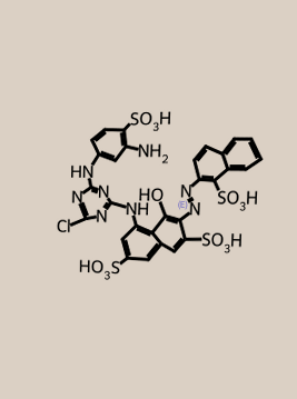 Nc1cc(Nc2nc(Cl)nc(Nc3cc(S(=O)(=O)O)cc4cc(S(=O)(=O)O)c(/N=N/c5ccc6ccccc6c5S(=O)(=O)O)c(O)c34)n2)ccc1S(=O)(=O)O